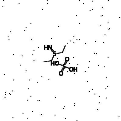 CCS(=N)CC.O=S(=O)(O)O